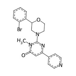 Cn1c(N2CCOC(c3ccccc3Br)C2)nc(-c2ccncc2)cc1=O